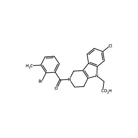 Cc1cccc(C(=O)N2CCc3c(c4ccc(Cl)cc4n3CC(=O)O)C2)c1Br